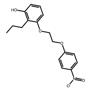 CCCc1c(O)[c]ccc1OCCOc1ccc([N+](=O)[O-])cc1